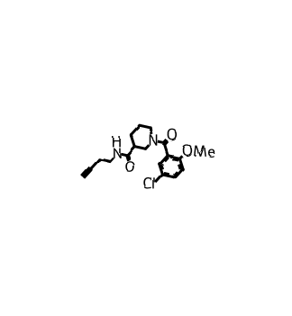 C#CCCNC(=O)C1CCCN(C(=O)c2cc(Cl)ccc2OC)C1